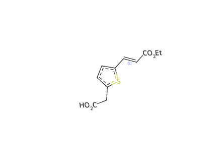 CCOC(=O)/C=C/c1ccc(CC(=O)O)s1